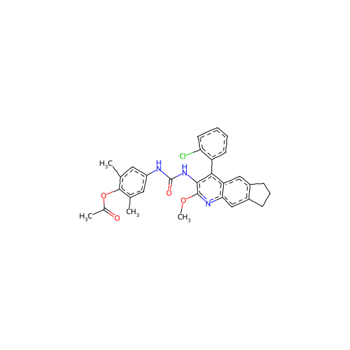 COc1nc2cc3c(cc2c(-c2ccccc2Cl)c1NC(=O)Nc1cc(C)c(OC(C)=O)c(C)c1)CCC3